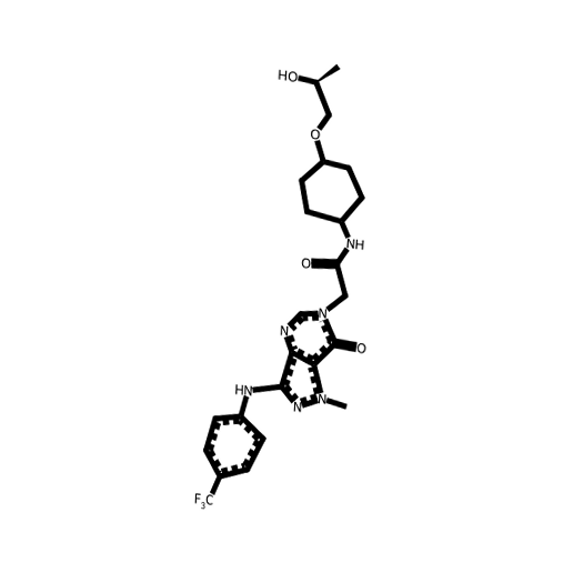 C[C@H](O)COC1CCC(NC(=O)Cn2cnc3c(Nc4ccc(C(F)(F)F)cc4)nn(C)c3c2=O)CC1